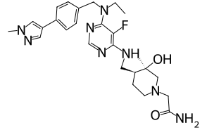 CCN(Cc1ccc(-c2cnn(C)c2)cc1)c1ncnc(NC[C@@H]2CCN(CC(N)=O)C[C@]2(C)O)c1F